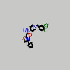 O=C(Cc1nc(-c2ccccc2)cs1)NC1CCN(Cc2ccc(Cl)c(Cl)c2)CC1